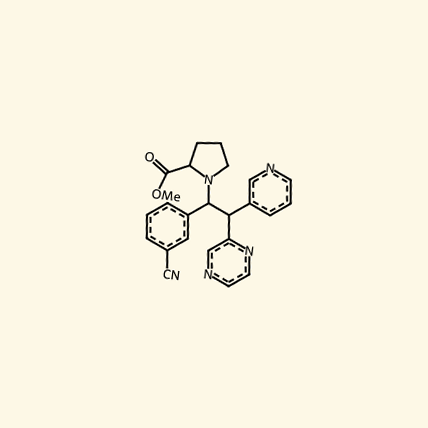 COC(=O)C1CCCN1C(c1cccc(C#N)c1)C(c1cccnc1)c1cnccn1